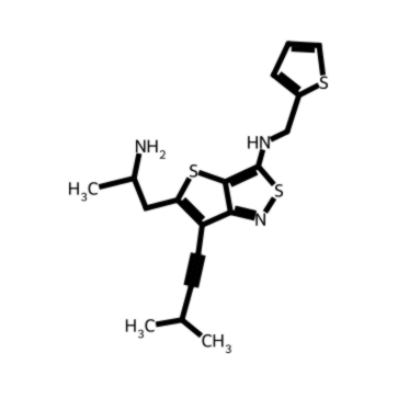 CC(C)C#Cc1c(CC(C)N)sc2c(NCc3cccs3)snc12